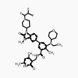 CCN(c1cc(-c2ccc3c(c2)n(C)c(=O)n3C2CCN(C(F)C(F)F)CC2)cc(C(=O)NCc2c(C)cc(C)[nH]c2=O)c1C)C1CCOCC1